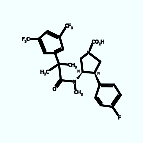 CN(C(=O)C(C)(C)c1cc(C(F)(F)F)cc(C(F)(F)F)c1)[C@@H]1CN(C(=O)O)C[C@H]1c1ccc(F)cc1